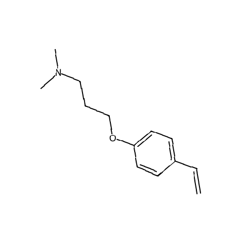 C=Cc1ccc(OCCCN(C)C)cc1